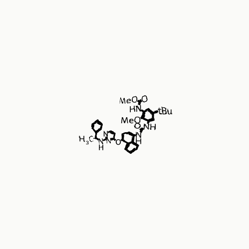 COC(=O)Nc1cc(C(C)(C)C)cc(NC(=O)Nc2ccc(Oc3ccnc(N[C@H](C)c4ccccc4)n3)c3ccccc23)c1OC